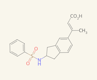 CC(=CC(=O)O)c1ccc2c(c1)CC(NS(=O)(=O)c1ccccc1)C2